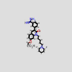 C[C@@H]1CCC[C@H](C)N1CCCCCn1c(=O)c(-c2cccc(C(=N)N)c2)cc2ccc(OCC(=O)O)cc21